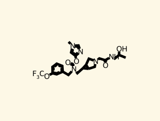 CC(O)CNC(=O)CN1CC2C(C1)C2CN(Cc1cccc(OC(F)(F)F)c1)C(=O)Oc1cn(C)cn1